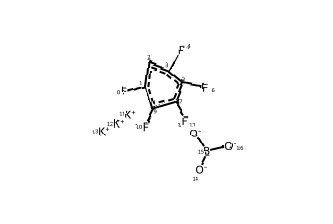 Fc1cc(F)c(F)c(F)c1F.[K+].[K+].[K+].[O-]B([O-])[O-]